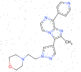 Cc1nc2c(-c3ccncc3)nccn2c1-c1cnn(CCN2CCOCC2)c1